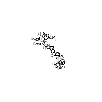 CCC[C@H](C)N(Cc1nc2ccc3cc4c(cc3c2[nH]1)OCc1cc(-c2cnc([C@@H]3C[C@@H]5CCC[C@@H]5N3C(=O)[C@@H](NC(=O)OC)[C@@H](C)CC)[nH]2)ccc1-4)C(=O)[C@@H](NC(=O)OC)C1C[C@@H](C)O[C@H](C)C1